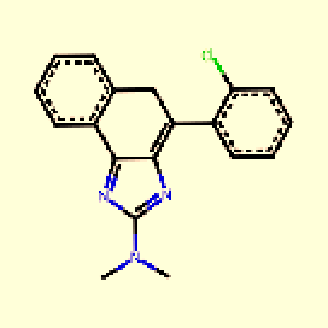 CN(C)C1=NC2=C(c3ccccc3Cl)Cc3ccccc3C2=N1